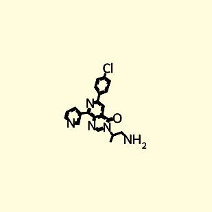 CC(CN)n1cnc2c(-c3cccnc3)nc(-c3ccc(Cl)cc3)cc2c1=O